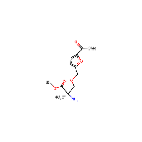 COC(=O)c1ccc(COC[C@](N)(C(=O)O)C(=O)OC(C)(C)C)o1